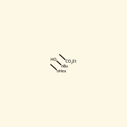 CCCCCCC.CCCCO.CCOC(C)=O